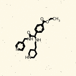 CCOC(=O)c1ccc(C(NCCC2CCNCC2)C(=O)NCc2ccncc2)cc1